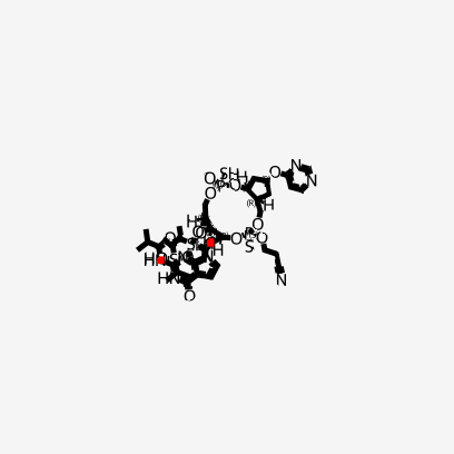 CC(C)C(=O)Nc1nc2c(ccn2[C@@H]2O[C@@H]3CO[P@@](=O)(S)O[C@H]4C[C@H](Oc5ccncn5)C[C@@H]4CO[P@@](=S)(OCCC#N)O[C@@H]2[C@@H]3O[Si](O[Si](O)(C(C)C)C(C)C)(C(C)C)C(C)C)c(=O)[nH]1